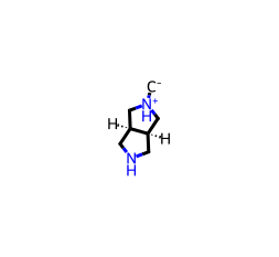 [CH2-][NH+]1C[C@H]2CNC[C@H]2C1